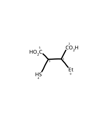 CCC(C(=O)O)C(S)C(=O)O